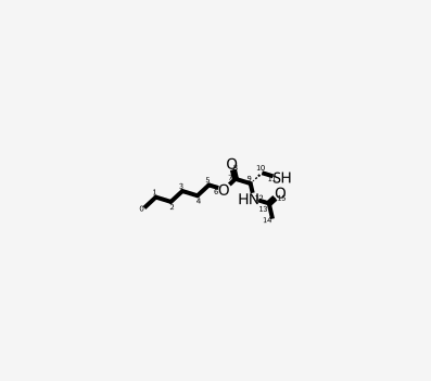 CCCCCCOC(=O)[C@H](CS)NC(C)=O